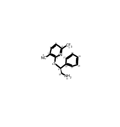 N#Cc1ccc(C(F)(F)F)nc1S[C@H](CN)c1ccccc1